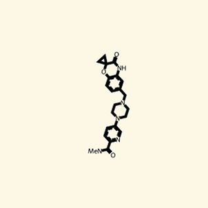 CNC(=O)c1ccc(N2CCN(Cc3ccc4c(c3)NC(=O)C3(CC3)O4)CC2)cn1